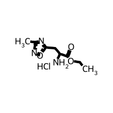 CCOC(=O)C(N)Cc1nc(C)no1.Cl